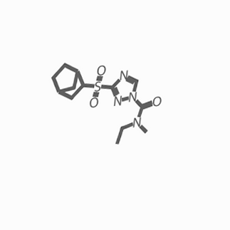 CCN(C)C(=O)n1cnc(S(=O)(=O)C2CC3CCC2C3)n1